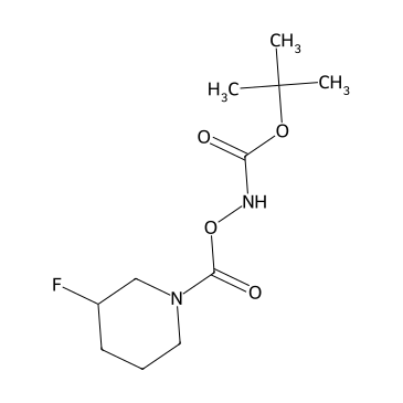 CC(C)(C)OC(=O)NOC(=O)N1CCCC(F)C1